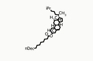 CCCCCCCCCCCCCCCCCC(=O)OC1CC[C@@]2(C)C(=CC[C@H]3[C@@H]4CC[C@H](C(C)CCCC(C)C)[C@@]4(C)CC[C@@H]32)C1